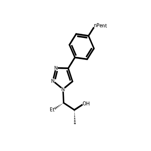 CCCCCc1ccc(-c2cn([C@@H](CC)[C@@H](C)O)nn2)cc1